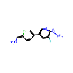 C=C(/C=C\C(Cl)=C/N)c1cnc(NN)c(F)c1